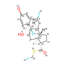 C[C@]12C[C@H](O)[C@@]3(F)[C@@H](C[C@H](F)C4=CC(=O)C=C[C@@]43C)[C@@H]1CC[C@@H]2C(=O)SCF